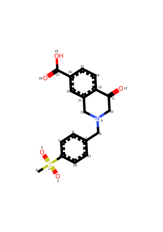 CS(=O)(=O)c1ccc(CN2CC(=O)c3ccc(C(=O)O)cc3C2)cc1